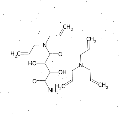 C=CCN(CC=C)C(=O)C(O)C(O)C(N)=O.C=CCN(CC=C)CC=C